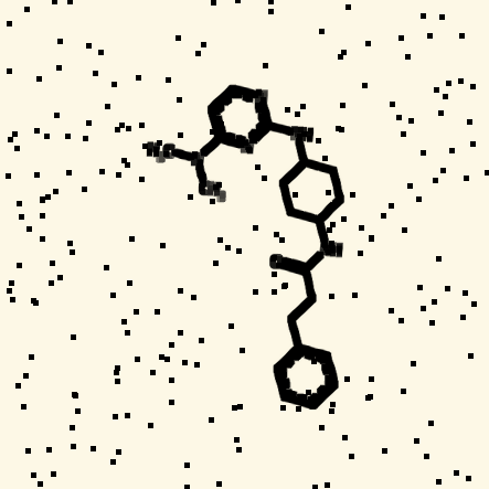 CN(C)c1ccnc(NC2CCC(NC(=O)CCc3ccccc3)CC2)n1